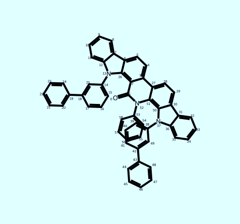 O=c1c2c(ccc3c4ccccc4n(-c4cccc(-c5ccccc5)c4)c32)c2ccc3c4ccccc4n(-c4cccc(-c5ccccc5)c4)c3c2n1-c1ccccc1